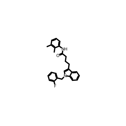 Cc1cccc(NC(=O)CCCc2cn(Cc3ccccc3F)c3ccccc23)c1C